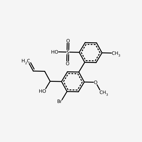 C=CCC(O)c1cc(-c2cc(C)ccc2S(=O)(=O)O)c(OC)cc1Br